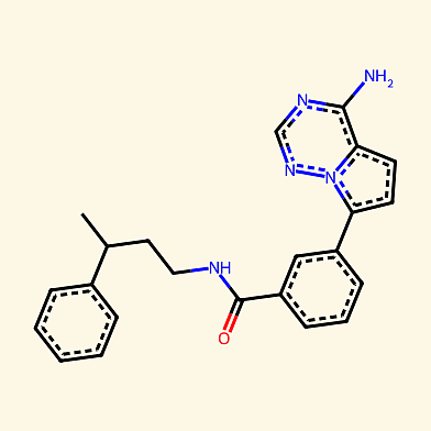 CC(CCNC(=O)c1cccc(-c2ccc3c(N)ncnn23)c1)c1ccccc1